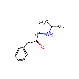 CC(NNC(=O)Cc1ccccc1)C(F)(F)F